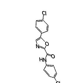 O=C(Nc1ccc(Cl)cc1)c1ncc(-c2ccc(Cl)cc2)o1